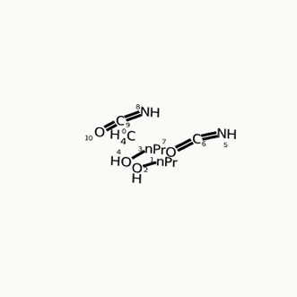 C.CCCO.CCCO.N=C=O.N=C=O